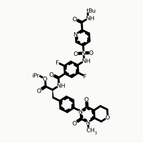 CC(C)OC(=O)[C@H](Cc1ccc(-n2c(=O)c3c(n(C)c2=O)COCC3)cc1)NC(=O)c1cc(F)c(NS(=O)(=O)c2ccc(C(=O)NC(C)(C)C)nc2)cc1F